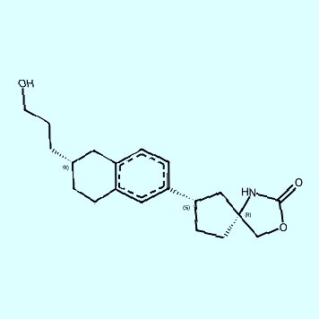 O=C1N[C@@]2(CC[C@H](c3ccc4c(c3)CC[C@H](CCCO)C4)C2)CO1